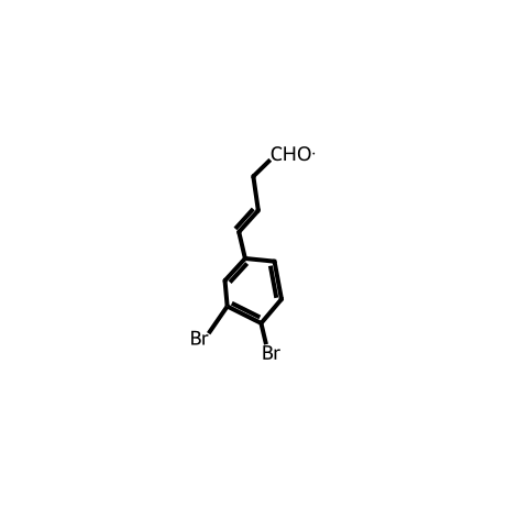 O=[C]CC=Cc1ccc(Br)c(Br)c1